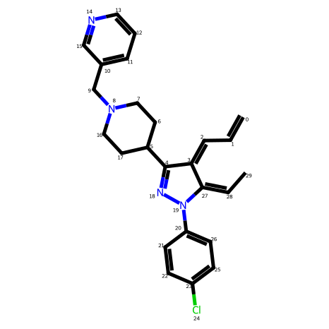 C=C/C=c1/c(C2CCN(Cc3cccnc3)CC2)nn(-c2ccc(Cl)cc2)/c1=C/C